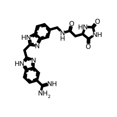 N=C(N)c1ccc2[nH]c(Cc3nc4cc(CNC(=O)CC5NC(=O)NC5=O)ccc4[nH]3)nc2c1